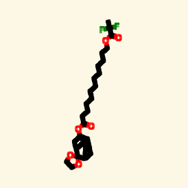 CC(F)(F)C(=O)OCCCCCCCCCCCCC(=O)OC12CC3CC(C1)C1(OCCO1)C(C3)C2